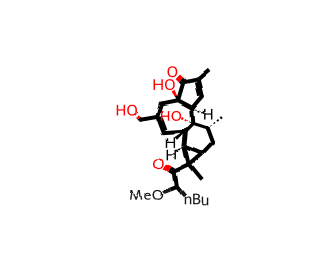 CCCCC(OC)C(=O)C1(C)C2C[C@@H](C)[C@@]3(O)[C@@H](C=C(CO)C[C@]4(O)C(=O)C(C)=C[C@@H]34)[C@@H]21